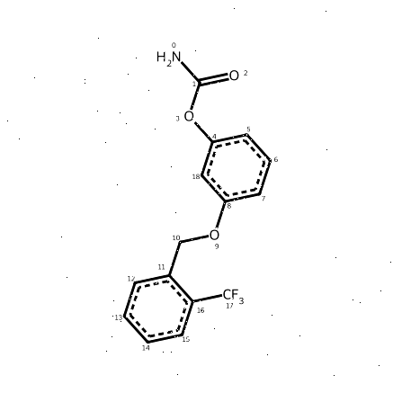 NC(=O)Oc1cccc(OCc2ccccc2C(F)(F)F)c1